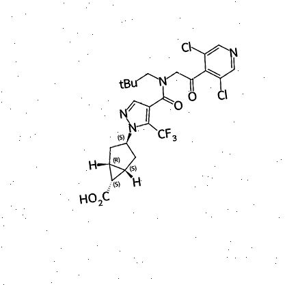 CC(C)(C)CN(CC(=O)c1c(Cl)cncc1Cl)C(=O)c1cnn([C@@H]2C[C@@H]3[C@H](C2)[C@@H]3C(=O)O)c1C(F)(F)F